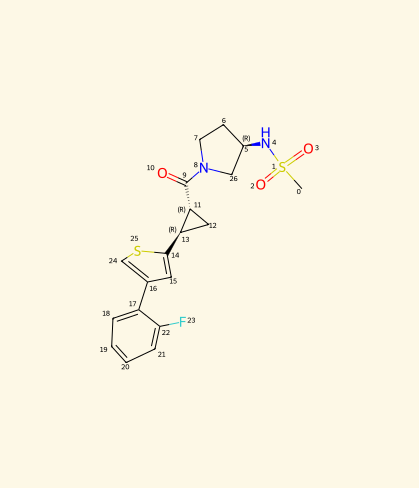 CS(=O)(=O)N[C@@H]1CCN(C(=O)[C@@H]2C[C@H]2c2cc(-c3ccccc3F)cs2)C1